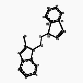 CC1=Cc2ccccc2C1CCC1C=Cc2ccccc21